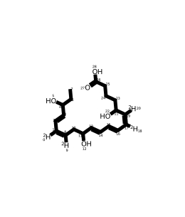 [2H]C(C=CC(O)CC)=C([2H])CC(O)C=CC=CC([2H])=C([2H])C(O)CCCC(=O)O